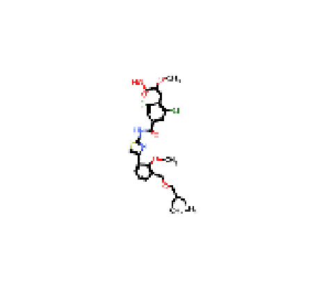 CCC(CC)COCc1cccc(-c2csc(NC(=O)c3cc(Cl)c(/C=C(/OC)C(=O)O)c(Cl)c3)n2)c1OC